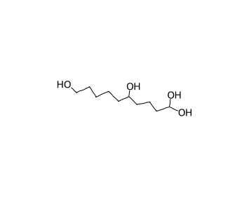 OCCCCCC(O)CCCC(O)O